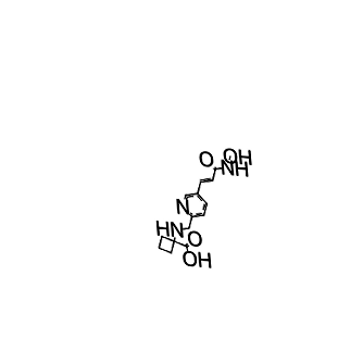 O=C(C=Cc1ccc(CNC2(C(=O)O)CCC2)nc1)NO